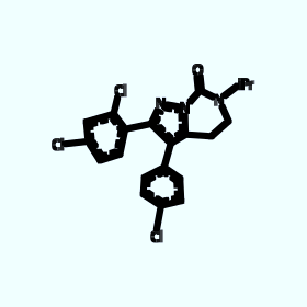 CC(C)N1CCc2c(-c3ccc(Cl)cc3)c(-c3ccc(Cl)cc3Cl)nn2C1=O